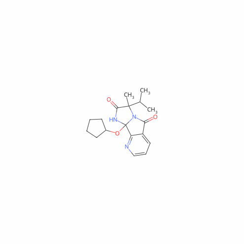 CC(C)C1(C)C(=O)NC2(OC3CCCC3)c3ncccc3C(=O)N21